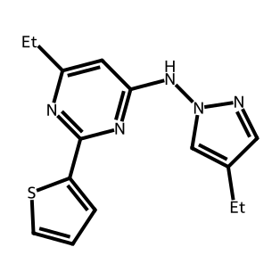 CCc1cnn(Nc2cc(CC)nc(-c3cccs3)n2)c1